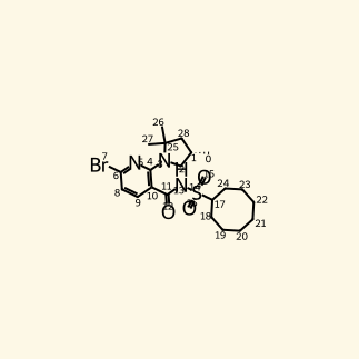 C[C@@H]1CN(c2nc(Br)ccc2C(=O)NS(=O)(=O)C2CCCCCCC2)C(C)(C)C1